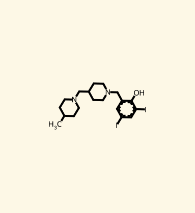 CC1CCN(CC2CCN(Cc3cc(I)cc(I)c3O)CC2)CC1